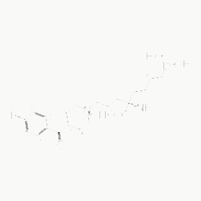 NC(CCCCB(O)O)(CCCN1CCC(C(=O)c2ccc(F)cc2)CC1)C(=O)O